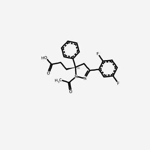 CC(=O)N1N=C(c2cc(F)ccc2F)C[C@@]1(CCC(=O)O)c1ccccc1